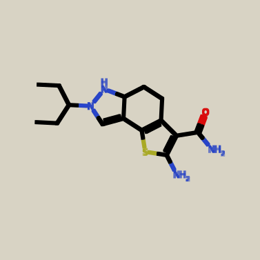 CCC(CC)N1C=C2c3sc(N)c(C(N)=O)c3CCC2N1